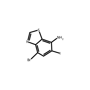 Nc1c(I)cc(Br)c2ncsc12